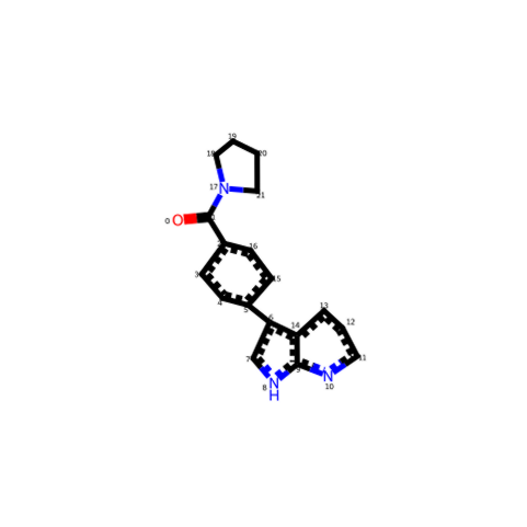 O=C(c1ccc(-c2c[nH]c3ncccc23)cc1)N1CCCC1